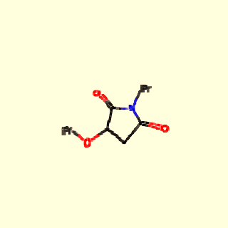 CC(C)OC1CC(=O)N(C(C)C)C1=O